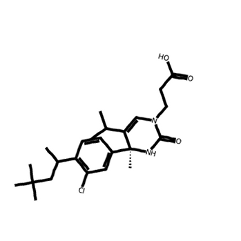 CC(C)C1=CN(CCC(=O)O)C(=O)N[C@@]1(C)c1ccc(C(C)CC(C)(C)C)c(Cl)c1